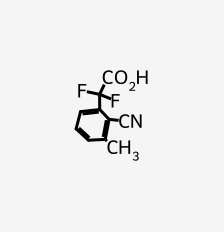 Cc1cccc(C(F)(F)C(=O)O)c1C#N